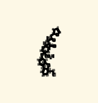 O=C(Cc1ccco1)N[C@@H]1C(=O)N2CC(Sc3ccc4c(c3)oc3c(CCl)cccc34)(C(=O)O)CS[C@H]12